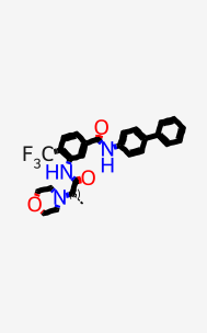 C[C@@H](C(=O)Nc1cc(C(=O)Nc2ccc(-c3ccccc3)cc2)ccc1C(F)(F)F)N1CCOCC1